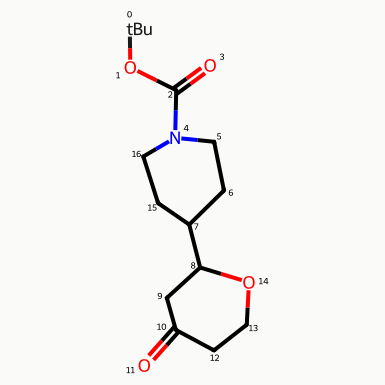 CC(C)(C)OC(=O)N1CCC(C2CC(=O)CCO2)CC1